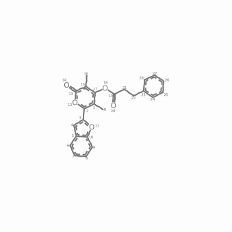 Cc1c(-c2cc3ccccc3o2)oc(=O)c(C)c1OC(=O)CCc1ccccc1